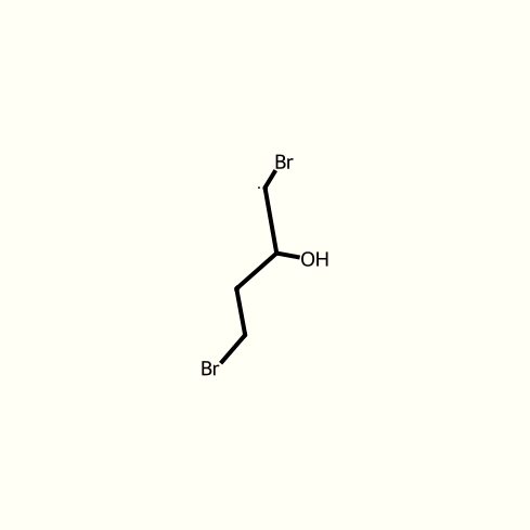 OC([CH]Br)CCBr